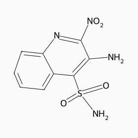 Nc1c([N+](=O)[O-])nc2ccccc2c1S(N)(=O)=O